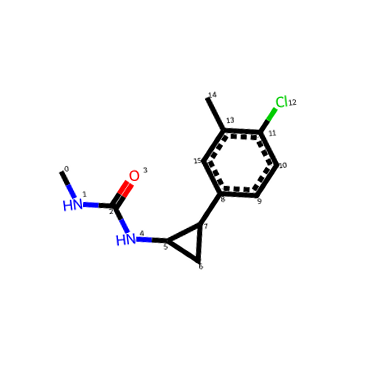 CNC(=O)NC1CC1c1ccc(Cl)c(C)c1